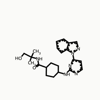 CC(C)(CO)NC(=O)C1CCC(Nc2nccc(-n3ncc4ccccc43)n2)CC1